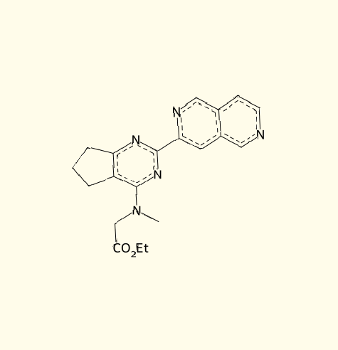 CCOC(=O)CN(C)c1nc(-c2cc3cnccc3cn2)nc2c1CCC2